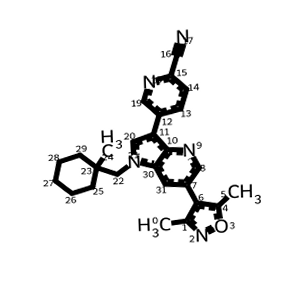 Cc1noc(C)c1-c1cnc2c(-c3ccc(C#N)nc3)cn(CC3(C)CCCCC3)c2c1